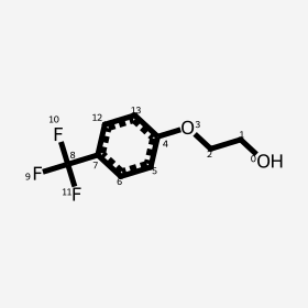 OCCOc1ccc(C(F)(F)F)cc1